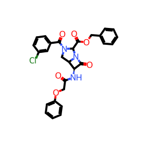 O=C(COc1ccccc1)N[C@@H]1C(=O)N2C1CN(C(=O)c1cccc(Cl)c1)C2C(=O)OCc1ccccc1